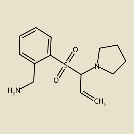 C=CC(N1CCCC1)S(=O)(=O)c1ccccc1CN